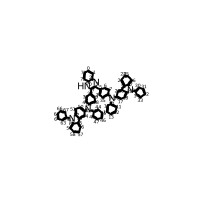 C1=CC2=NC(c3ccc(N(c4ccccc4)c4ccc5c(c4)c4ccccc4n5-c4ccccc4)cc3)=C(c3ccc(N(c4ccccc4)c4ccc5c(c4)c4ccccc4n5-c4ccccc4)cc3)NC2C=C1